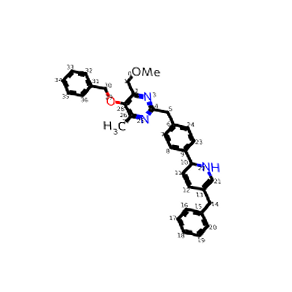 COCc1nc(Cc2ccc(C3C=CC(Cc4ccccc4)=CN3)cc2)nc(C)c1OCc1ccccc1